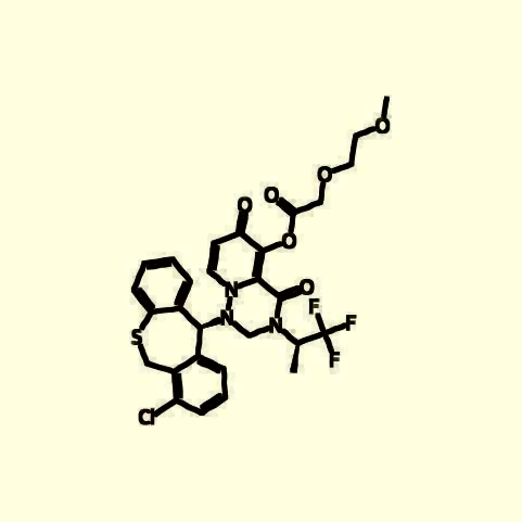 COCCOCC(=O)Oc1c2n(ccc1=O)N([C@@H]1c3ccccc3SCc3c(Cl)cccc31)CN([C@H](C)C(F)(F)F)C2=O